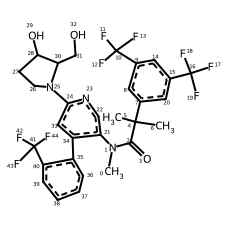 CN(C(=O)C(C)(C)c1cc(C(F)(F)F)cc(C(F)(F)F)c1)c1cnc(N2CCC(O)C2CO)cc1-c1ccccc1C(F)(F)F